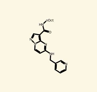 CCCCCCCCNC(=O)c1cnn2ccc(NCc3cccnc3)nc12